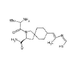 CC(=C\C1CCC2(CC1)C[C@@H](C(N)=O)N(C(=O)C(N)C(C)(C)C)C2)/N=C\S